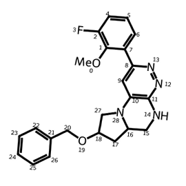 COc1c(F)cccc1-c1cc2c(nn1)NCC1CC(OCc3ccccc3)CN21